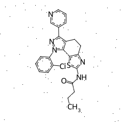 CCCC(=O)Nc1nc2c(s1)-c1c(c(-c3cccnc3)nn1-c1ccccc1Cl)CC2